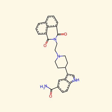 NC(=O)c1ccc2[nH]cc(C3CCN(CCN4C(=O)c5cccc6cccc(c56)C4=O)CC3)c2c1